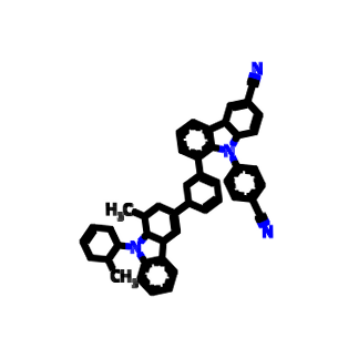 CC1CC=CCC1N1c2ccccc2C2C=C(C3C=CC=C(c4cccc5c4N(c4ccc(C#N)cc4)C4C=CC(C#N)=CC54)C3)CC(C)C21